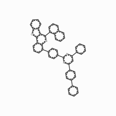 c1ccc(-c2ccc(-c3cc(-c4ccccc4)nc(-c4ccc(-c5cccc6c5nc(-c5cccc7ccccc57)c5c7ccccc7oc65)cc4)n3)cc2)cc1